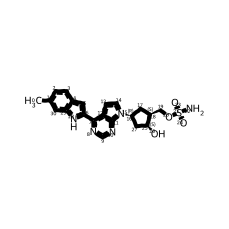 Cc1ccc2cc(-c3ncnc4c3ccn4[C@@H]3C[C@@H](COS(N)(=O)=O)[C@@H](O)C3)[nH]c2c1